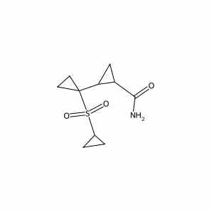 NC(=O)C1CC1C1(S(=O)(=O)C2CC2)CC1